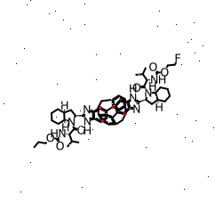 CCCOC(=O)N[C@H](C(=O)N1[C@H](c2nc3cc(-c4cc5ccc4CCc4ccc(c(-c6ccc7[nH]c([C@@H]8C[C@@H]9CCCC[C@@H]9N8C(=O)[C@@H](NC(=O)OCCF)C(C)C)nc7c6)c4)CC5)ccc3[nH]2)C[C@@H]2CCCC[C@@H]21)C(C)C